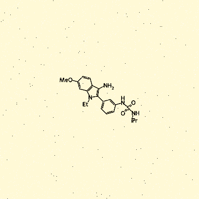 CCn1c(-c2cccc(NS(=O)(=O)NC(C)C)c2)c(N)c2ccc(OC)cc21